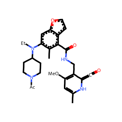 CCN(c1cc2occc2c(C(=O)NCC2=C(OC)C=C(C)NC2=C=O)c1C)C1CCN(C(C)=O)CC1